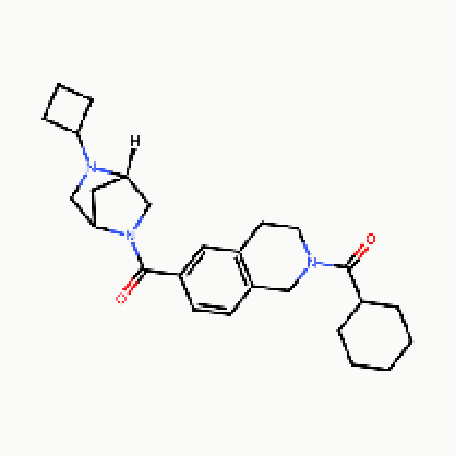 O=C(C1CCCCC1)N1CCc2cc(C(=O)N3C[C@@H]4CC3CN4C3CCC3)ccc2C1